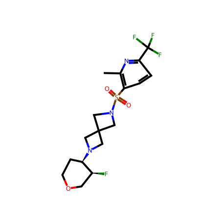 Cc1nc(C(F)(F)F)ccc1S(=O)(=O)N1CC2(CN([C@@H]3CCOC[C@@H]3F)C2)C1